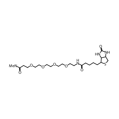 CNC(=O)CCOCCOCCOCCOCCNC(=O)CCCCC1SCC2NC(=O)NC21